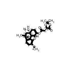 COc1ccc2c3c1O[C@@H]1C(OC(=O)C[C@H]4OC(C)(C)OC4=O)=CC[C@]4(O)[C@H](C2)N(C)CC[C@@]314